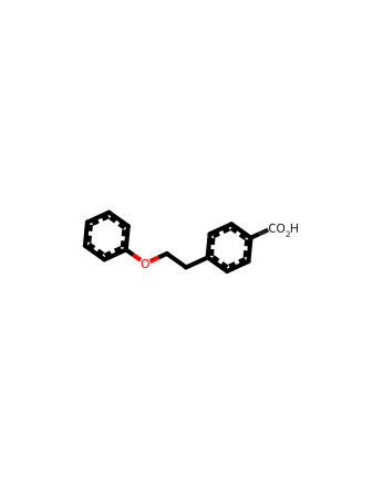 O=C(O)c1ccc(CCOc2ccccc2)cc1